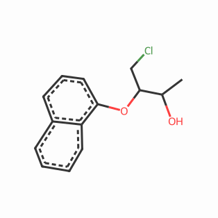 CC(O)C(CCl)Oc1cccc2ccccc12